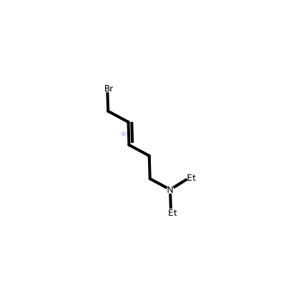 CCN(CC)CC/C=C/CBr